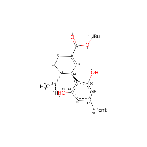 C=C(C)[C@@H]1CCC(C(=O)OC(C)CC)=C[C@H]1c1c(O)cc(CCCCC)cc1O